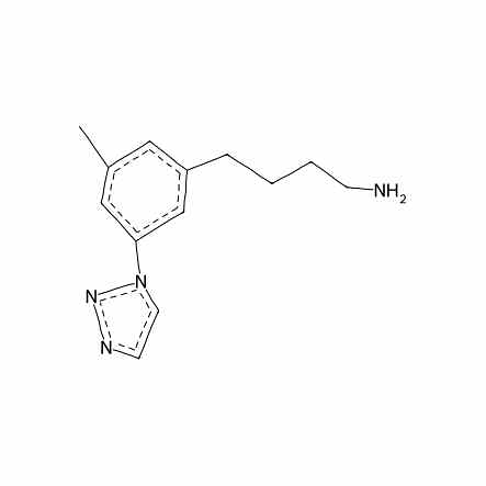 Cc1cc(CCCCN)cc(-n2ccnn2)c1